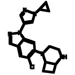 Clc1cc2cnn(-c3cnn(C4CC4)c3)c2cc1N1CCNC2CCC21